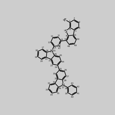 Fc1cccc2c1sc1c(-c3cccc(-n4c5ccccc5c5cc(-c6ccc7c(c6)c6ccccc6n7-c6ccccc6)ccc54)n3)cccc12